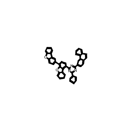 c1ccc(-c2nc(-c3ccc4ccc5ccccc5c4c3)nc(-c3ccc(-c4ccc5oc6ccccc6c5c4)c4oc5ccccc5c34)n2)cc1